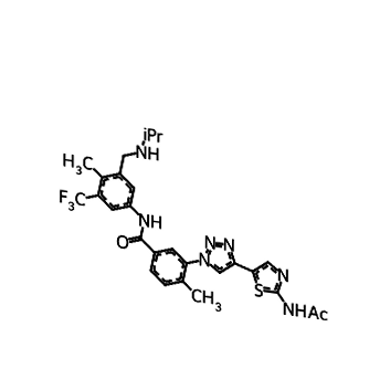 CC(=O)Nc1ncc(-c2cn(-c3cc(C(=O)Nc4cc(CNC(C)C)c(C)c(C(F)(F)F)c4)ccc3C)nn2)s1